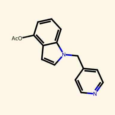 CC(=O)Oc1cccc2c1ccn2Cc1ccncc1